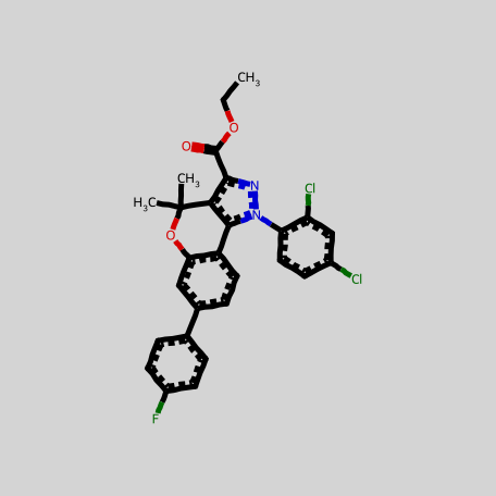 CCOC(=O)c1nn(-c2ccc(Cl)cc2Cl)c2c1C(C)(C)Oc1cc(-c3ccc(F)cc3)ccc1-2